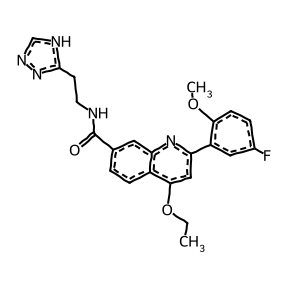 CCOc1cc(-c2cc(F)ccc2OC)nc2cc(C(=O)NCCc3nnc[nH]3)ccc12